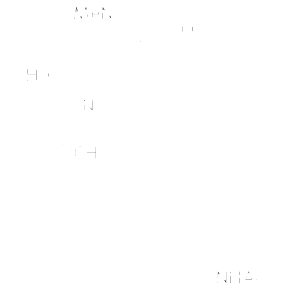 C[13C](=O)[15NH]CCCCC(C(=O)N[13CH3])N(C)[13CH3]